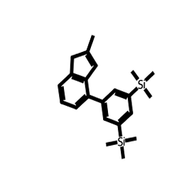 CC1=Cc2c(cccc2-c2cc([Si](C)(C)C)cc([Si](C)(C)C)c2)C1